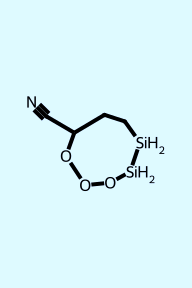 N#CC1CC[SiH2][SiH2]OOO1